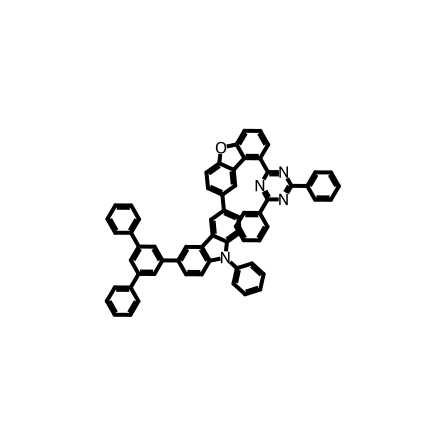 c1ccc(-c2cc(-c3ccccc3)cc(-c3ccc4c(c3)c3cc(-c5ccc6oc7cccc(-c8nc(-c9ccccc9)nc(-c9ccccc9)n8)c7c6c5)ccc3n4-c3ccccc3)c2)cc1